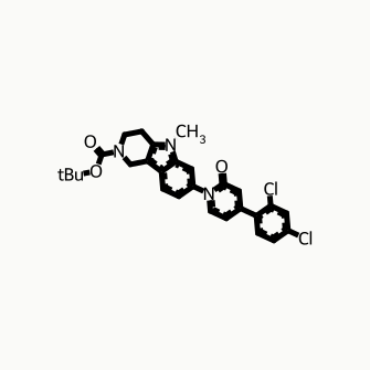 Cn1c2c(c3ccc(-n4ccc(-c5ccc(Cl)cc5Cl)cc4=O)cc31)CN(C(=O)OC(C)(C)C)CC2